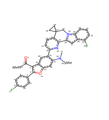 CNC(=O)c1c(-c2ccc(F)cc2)oc2cc(N(C)SC)c(-c3ccc4c(n3)-c3cc5c(F)cccc5n3CC43CC3)cc12